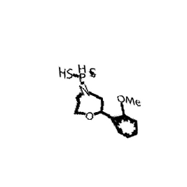 COc1ccccc1C1CN([PH](=S)S)CCO1